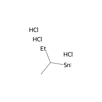 CC[CH](C)[Sn].Cl.Cl.Cl